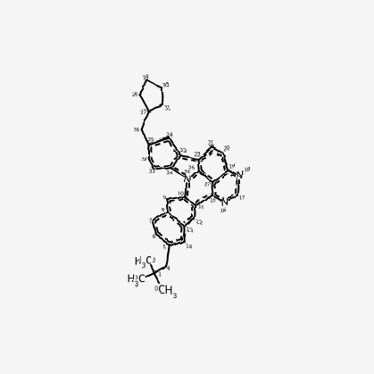 CC(C)(C)Cc1ccc2cc3c(cc2c1)c1ncnc2ccc4c5cc(CC6CCCC6)ccc5n3c4c21